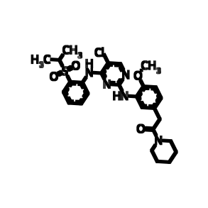 COc1ccc(CC(=O)N2CCCCC2)cc1Nc1ncc(Cl)c(Nc2ccccc2S(=O)(=O)C(C)C)n1